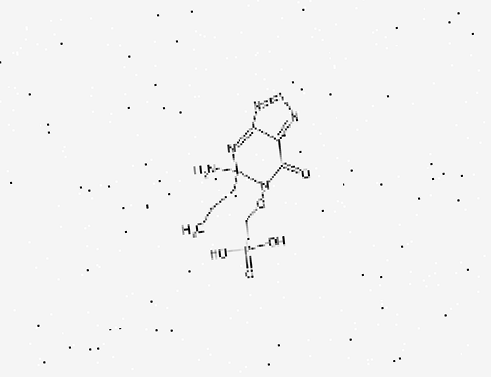 CCCC1(N)N=C2N=CN=C2C(=O)N1OCP(=O)(O)O